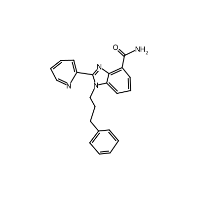 NC(=O)c1cccc2c1nc(-c1ccccn1)n2CCCc1ccccc1